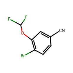 N#Cc1ccc(Br)c(OC(F)F)c1